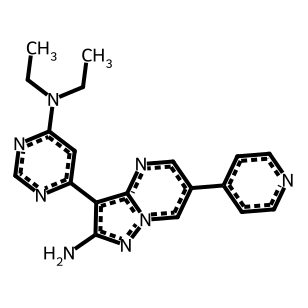 CCN(CC)c1cc(-c2c(N)nn3cc(-c4ccncc4)cnc23)ncn1